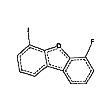 Fc1cccc2c1oc1c(I)cccc12